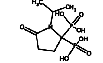 CC(C)N1C(=O)CCC1(P(=O)(O)O)P(=O)(O)O